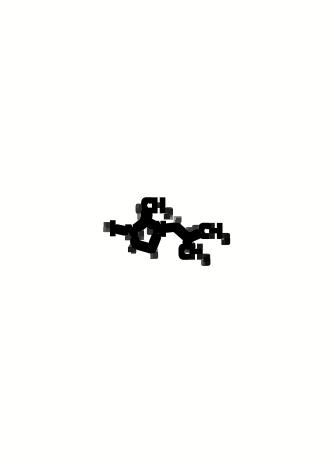 C=C1N(I)CCN1CC(C)C